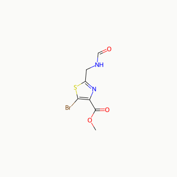 COC(=O)c1nc(CNC=O)sc1Br